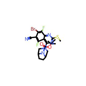 CSc1nc(N2CC3CCC(C2)N3C(=O)OC(C)(C)C)c2c(F)c(C#N)c(Br)c(F)c2n1